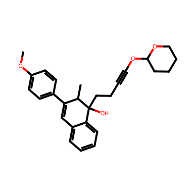 COc1ccc(C2=Cc3ccccc3C(O)(CCC#COC3CCCCO3)C2C)cc1